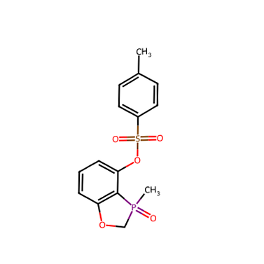 Cc1ccc(S(=O)(=O)Oc2cccc3c2P(C)(=O)CO3)cc1